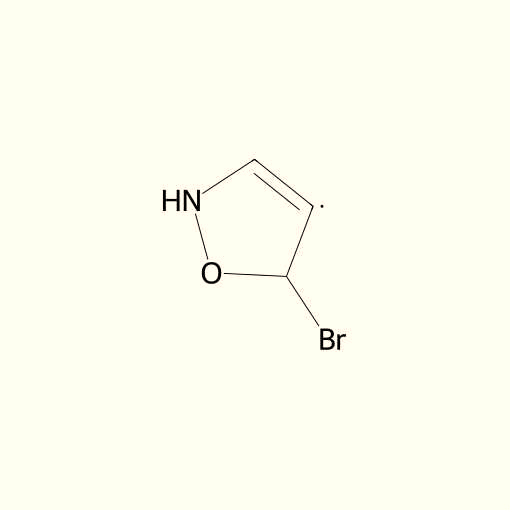 BrC1[C]=CNO1